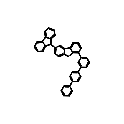 c1ccc(-c2ccc(-c3cccc(-c4cccc5c4sc4ccc(C6c7ccccc7-c7ccccc76)cc45)c3)cc2)cc1